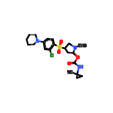 N#CC1(NC(=O)O[C@H]2C[C@@H](S(=O)(=O)c3ccc(N4CCCCC4)cc3Cl)CN2C=O)CC1